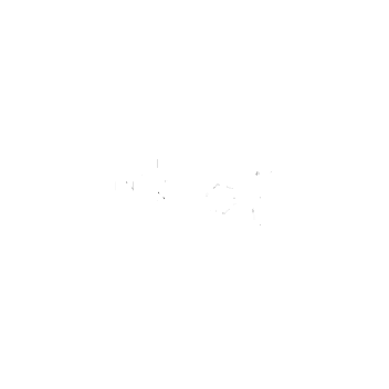 C[C@@H]1Cc2cc([C@H]3CC[C@@H]4CNCCN4C3)ccc2C(=O)O1